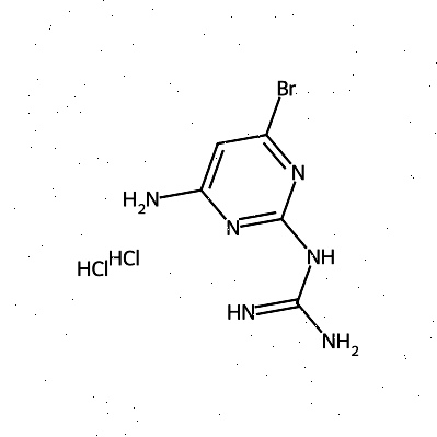 Cl.Cl.N=C(N)Nc1nc(N)cc(Br)n1